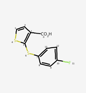 O=C(O)c1ccsc1Sc1ccc(F)cc1